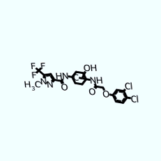 Cn1nc(C(=O)NC23CCC(NC(=O)COc4ccc(Cl)c(Cl)c4)(CC2)C(O)C3)cc1C(F)(F)F